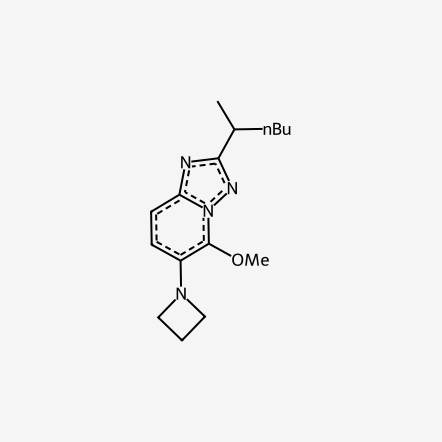 CCCCC(C)c1nc2ccc(N3CCC3)c(OC)n2n1